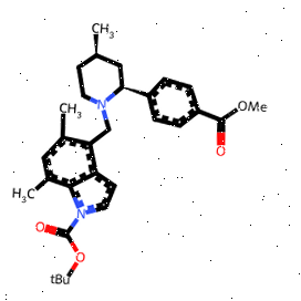 COC(=O)c1ccc([C@@H]2C[C@H](C)CCN2Cc2c(C)cc(C)c3c2ccn3C(=O)OC(C)(C)C)cc1